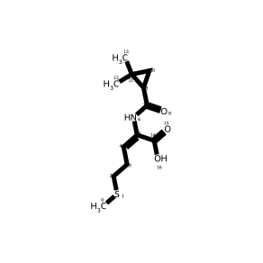 CSCC/C=C(/NC(=O)C1CC1(C)C)C(=O)O